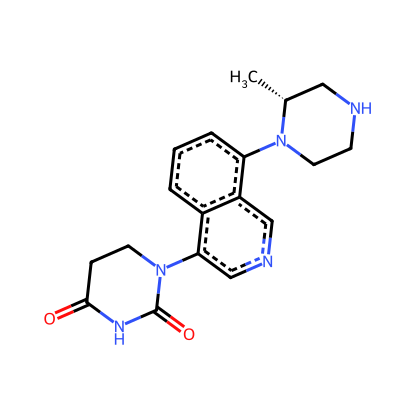 C[C@@H]1CNCCN1c1cccc2c(N3CCC(=O)NC3=O)cncc12